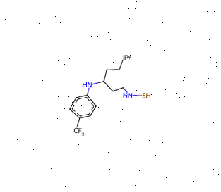 CC(C)CCC(CCNS)Nc1ccc(C(F)(F)F)cc1